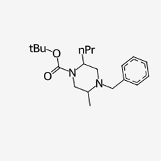 CCCC1CN(Cc2ccccc2)C(C)CN1C(=O)OC(C)(C)C